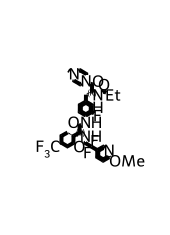 CCC(=O)N[C@H](Cc1ccc(NC(=O)[C@@H](NC(=O)C(F)(F)c2ccc(OC)nc2)[C@H]2CC[C@H](C(F)(F)F)CC2)c(F)c1)C(=O)N1CCN(C)CC1